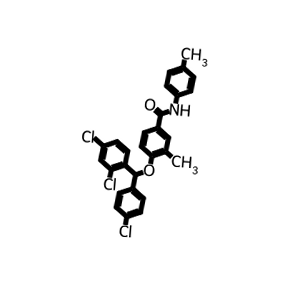 Cc1ccc(NC(=O)c2ccc(OC(c3ccc(Cl)cc3)c3ccc(Cl)cc3Cl)c(C)c2)cc1